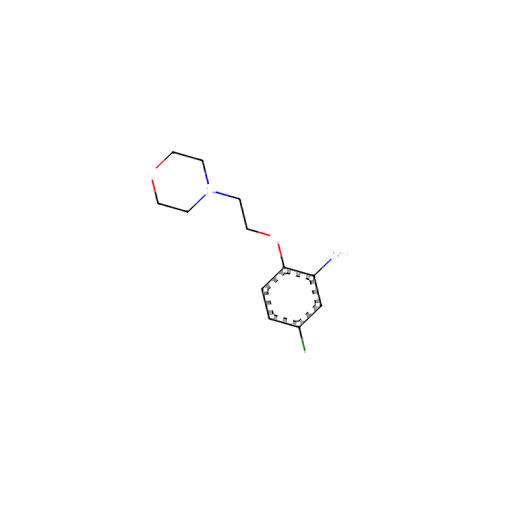 Nc1cc(Br)ccc1OCCN1CCOCC1